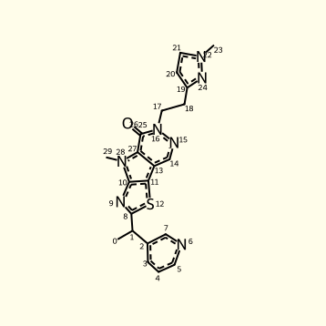 CC(c1cccnc1)c1nc2c(s1)c1cnn(CCc3ccn(C)n3)c(=O)c1n2C